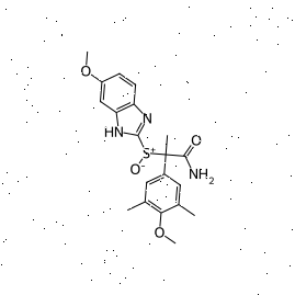 COc1ccc2nc([S+]([O-])C(C)(C(N)=O)c3cc(C)c(OC)c(C)c3)[nH]c2c1